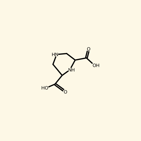 O=C(O)C1CNCC(C(=O)O)N1